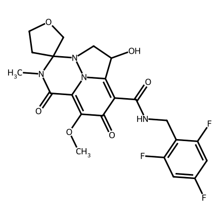 COc1c2n3c(c(C(=O)NCc4c(F)cc(F)cc4F)c1=O)C(O)CN3C1(CCOC1)N(C)C2=O